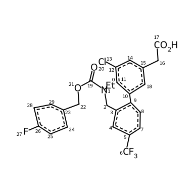 CCN(Cc1cc(C(F)(F)F)ccc1-c1cc(Cl)cc(CC(=O)O)c1)C(=O)OCc1ccc(F)cc1